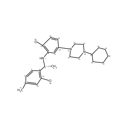 Cc1ccc([C@@H](C)Nc2cc(N3CCN(C4CCCCC4)CC3)ccc2Cl)c(Cl)c1